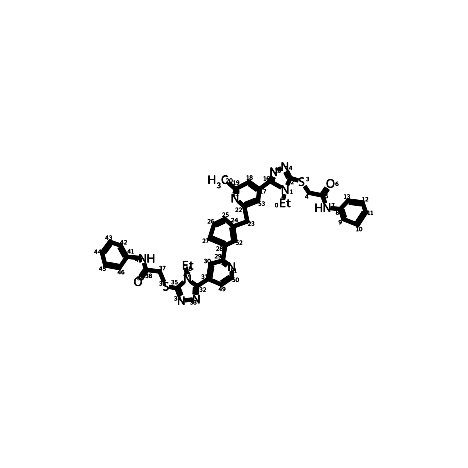 CCn1c(SCC(=O)Nc2ccccc2)nnc1-c1cc(C)nc(Cc2cccc(-c3cc(-c4nnc(SCC(=O)Nc5ccccc5)n4CC)ccn3)c2)c1